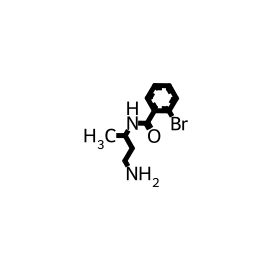 CC(CCN)NC(=O)c1ccccc1Br